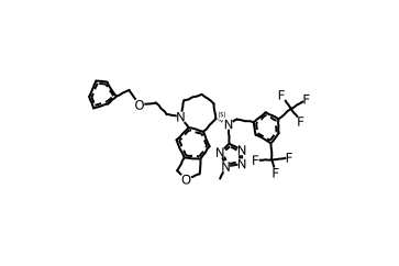 Cn1nnc(N(Cc2cc(C(F)(F)F)cc(C(F)(F)F)c2)[C@H]2CCCN(CCOCc3ccccc3)c3cc4c(cc32)COC4)n1